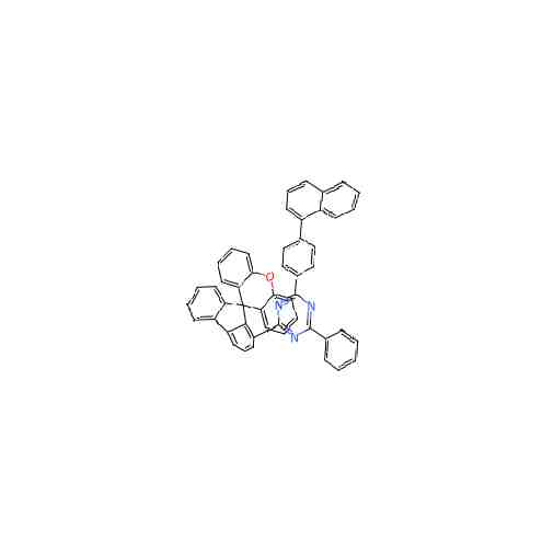 c1ccc(-c2nc(-c3ccc(-c4cccc5ccccc45)cc3)nc(-c3cccc4c3C3(c5ccccc5Oc5ccccc53)c3ccccc3-4)n2)cc1